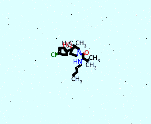 CCCCCN[C@@H](C(=O)N1CC[C@](O)(C2=CC=C(Cl)CC2)C(C)(C)C1)C(C)C